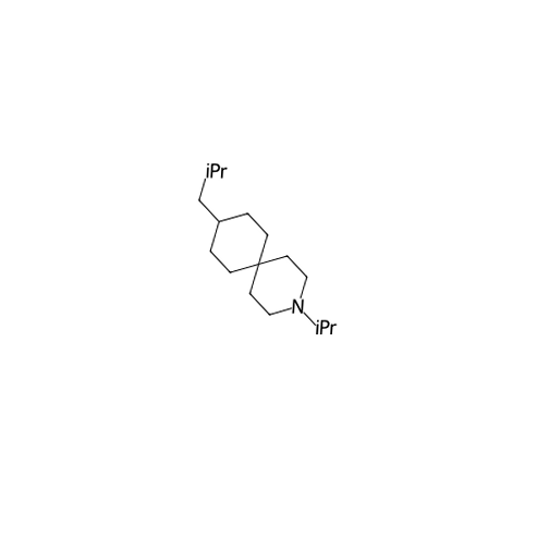 CC(C)CC1CCC2(CC1)CCN(C(C)C)CC2